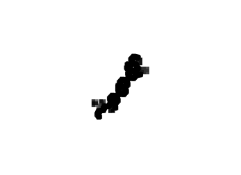 C/C=C\C=C(/N)C1=NCc2cc(C3C=CC4=CC(c5cc6c7c([nH]cc7c5)-c5ncccc5C6(C)C)=CCC4(C)C3)ccc21